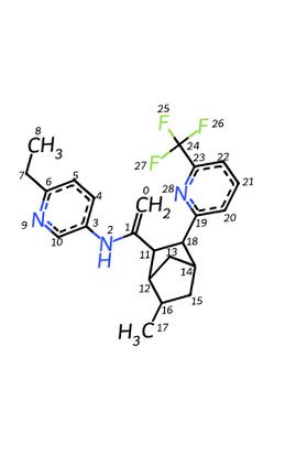 C=C(Nc1ccc(CC)nc1)C1C2CC(CC2C)C1c1cccc(C(F)(F)F)n1